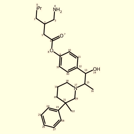 CC(C)CC(CN)CC(=O)Oc1ccc(C(O)C(C)N2CCCC(C)(c3ccccc3)C2)cc1